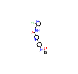 CCC(=O)N(C)c1ccc(-c2ccc(C(=O)NCc3cccnc3Cl)cn2)cc1